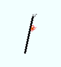 CCCCCCCCCCCCCCCCCCCCC(CCCCCCCCC)S(=O)(=O)[O-].[Li+]